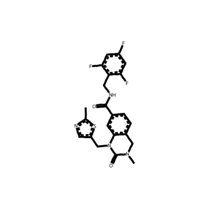 Cc1ncc(CN2C(=O)N(C)Cc3ccc(C(=O)NCc4c(F)cc(F)cc4F)cc32)s1